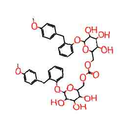 COc1ccc(Cc2ccccc2OC2OC(COC(=O)OCC3OC(Oc4ccccc4Cc4ccc(OC)cc4)C(O)C(O)C3O)C(O)C(O)C2O)cc1